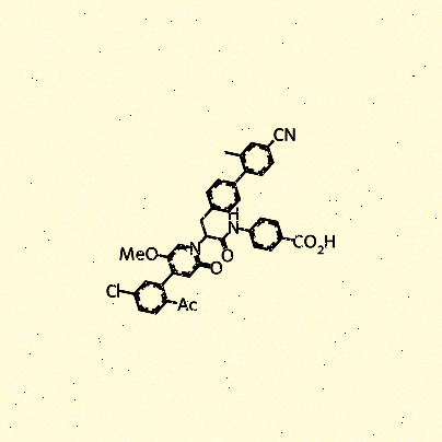 COc1cn(C(Cc2ccc(-c3ccc(C#N)cc3C)cc2)C(=O)Nc2ccc(C(=O)O)cc2)c(=O)cc1-c1cc(Cl)ccc1C(C)=O